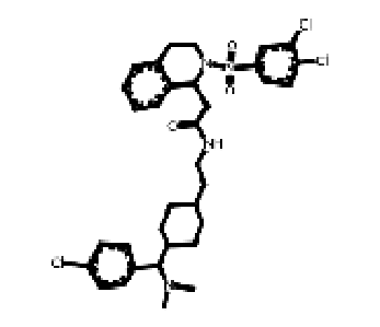 CN(C)C(c1ccc(Cl)cc1)C1CCC(CCNC(=O)CC2c3ccccc3CCN2S(=O)(=O)c2ccc(Cl)c(Cl)c2)CC1